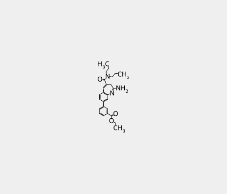 CCCN(CCC)C(=O)C1=Cc2ccc(-c3cccc(C(=O)OCC)c3)cc2N=C(N)C1